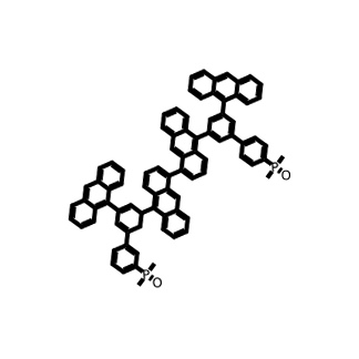 CP(C)(=O)c1ccc(-c2cc(-c3c4ccccc4cc4ccccc34)cc(-c3c4ccccc4cc4c(-c5cccc6c(C7C=C(c8c9ccccc9cc9ccccc89)C=C(c8cccc(P(C)(C)=O)c8)C7)c7ccccc7cc56)cccc34)c2)cc1